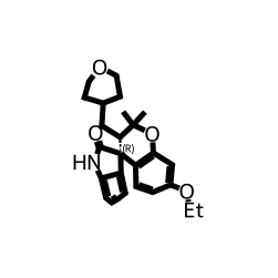 CCOc1ccc2c(c1)OC(C)(C)C(CC1CCOCC1)[C@]21C(=O)Nc2ccccc21